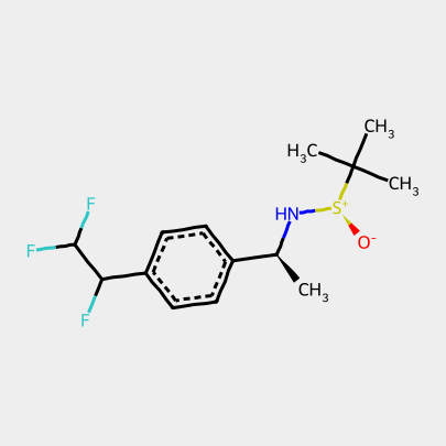 C[C@H](N[S@+]([O-])C(C)(C)C)c1ccc(C(F)C(F)F)cc1